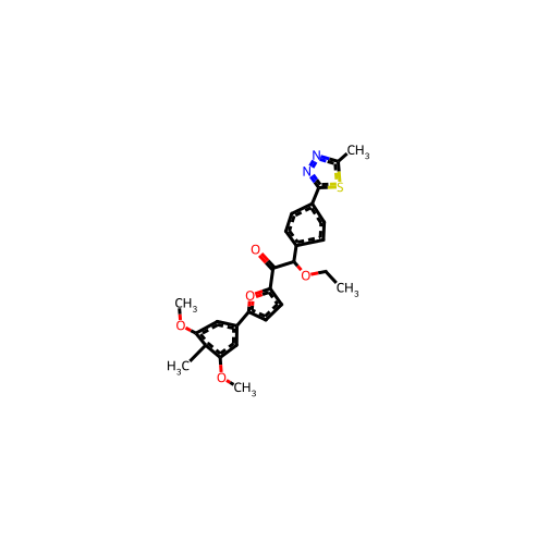 CCOC(C(=O)c1ccc(-c2cc(OC)c(C)c(OC)c2)o1)c1ccc(-c2nnc(C)s2)cc1